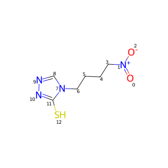 O=[N+]([O-])CCCCn1cnnc1S